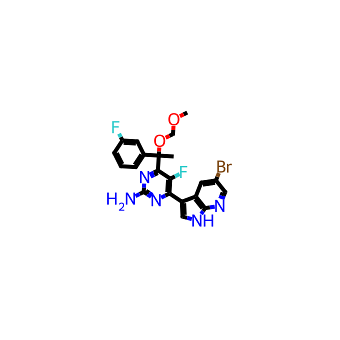 COCOC(C)(c1cccc(F)c1)c1nc(N)nc(-c2c[nH]c3ncc(Br)cc23)c1F